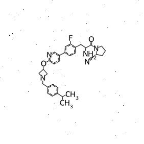 CC(C)c1ccc(CN2CC(Oc3ccc(-c4ccc(CC(N)C(=O)N5CCC[C@H]5C#N)c(F)c4)cn3)C2)cc1